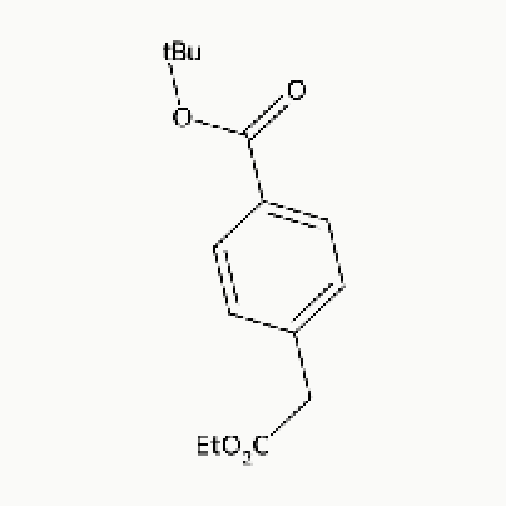 CCOC(=O)Cc1ccc(C(=O)OC(C)(C)C)cc1